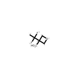 CC(F)(F)C1(C(=O)O)COC1